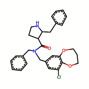 O=C(C1CCNC1Cc1ccccc1)N(Cc1ccccc1)Cc1cc(Cl)c2c(c1)OCCCO2